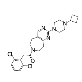 O=C(Cc1c(Cl)cccc1Cl)N1CCc2cnc(N3CCN(C4CCC4)CC3)nc2CC1